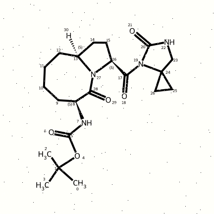 CC(C)(C)OC(=O)N[C@H]1CCCC[C@H]2CC[C@@H](C(=O)N3C(=O)NCC34CC4)N2C1=O